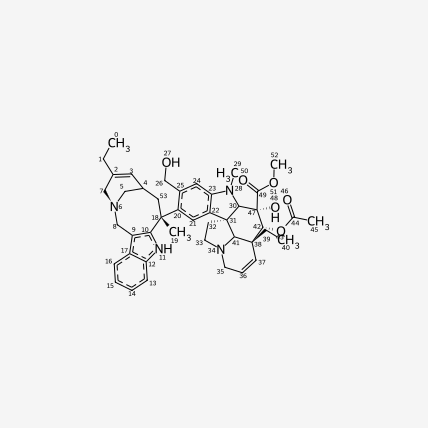 CCC1=CC2C[N@](C1)Cc1c([nH]c3ccccc13)[C@@](C)(c1cc3c(cc1CO)N(C)C1[C@]34CCN3CC=C[C@](CC)(C34)[C@@H](OC(C)=O)[C@]1(O)C(=O)OC)C2